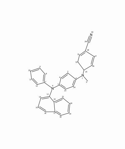 CN(c1ccc(N(c2ccccc2)c2cccc3ccccc23)cc1)C1C=CC(C#N)=CC1